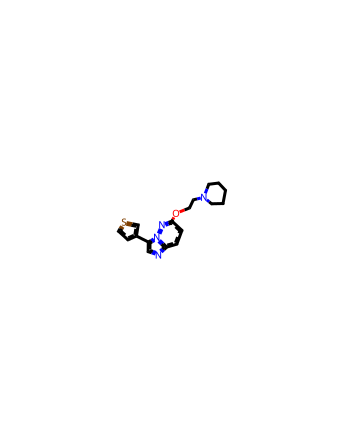 c1cc(-c2cnc3ccc(OCCN4CCCCC4)nn23)cs1